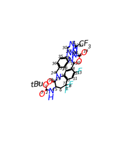 CC(C)(C)OC(=O)NC1CC(F)(F)c2cc(F)c(-c3n[nH]c(=O)o3)cc2N(Cc2ccc(-n3cnc(C(F)(F)F)n3)cc2)C1=O